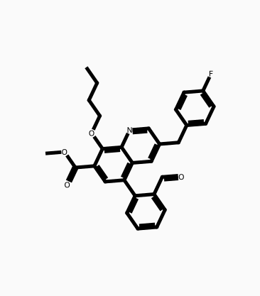 CCCCOc1c(C(=O)OC)cc(-c2ccccc2C=O)c2cc(Cc3ccc(F)cc3)cnc12